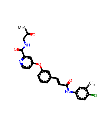 CNC(=O)CNC(=O)c1cc(Oc2cccc(C=CC(=O)Nc3ccc(Cl)c(C(F)(F)F)c3)c2)ccn1